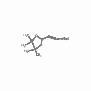 CCCCCCCC=CB1OC(C)(C)C(C)(C)O1